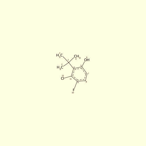 CC(C)(C)c1c(O)ccc(F)c1Cl